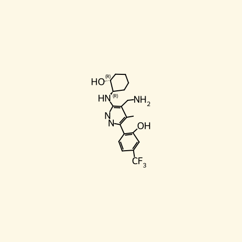 Cc1c(-c2ccc(C(F)(F)F)cc2O)nnc(N[C@@H]2CCCC[C@H]2O)c1CN